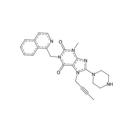 CC#CCn1c(N2CCNCC2)nc2c1c(=O)n(Cc1nccc3ccccc13)c(=O)n2C